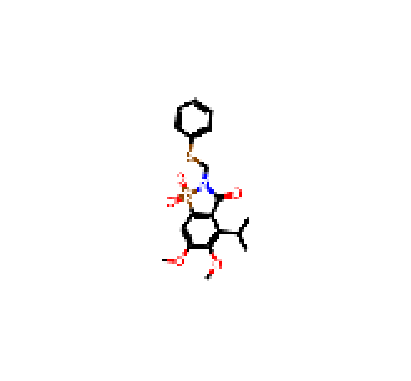 COc1cc2c(c(C(C)C)c1OC)C(=O)N(CSc1ccccc1)S2(=O)=O